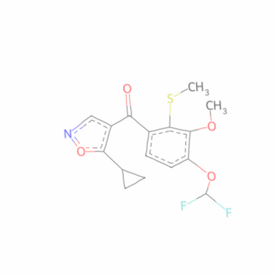 COc1c(OC(F)F)ccc(C(=O)c2cnoc2C2CC2)c1SC